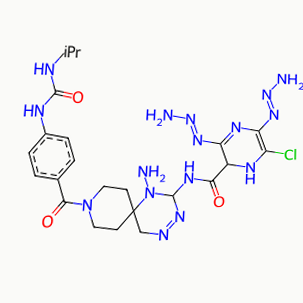 CC(C)NC(=O)Nc1ccc(C(=O)N2CCC3(CC2)CN=NC(NC(=O)C2NC(Cl)=C(N=NN)N=C2N=NN)N3N)cc1